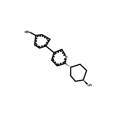 CCCCc1ccc(-c2ccc([C@H]3CC[C@H](CCC)CC3)nc2)cc1